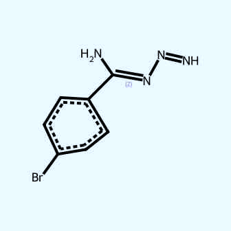 N=N/N=C(\N)c1ccc(Br)cc1